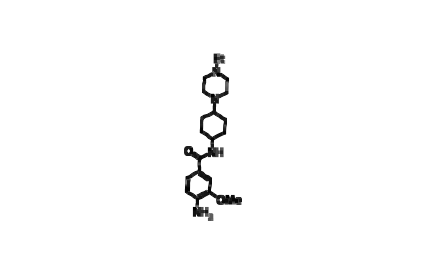 CCN1CCN(C2CCC(NC(=O)c3ccc(N)c(OC)c3)CC2)CC1